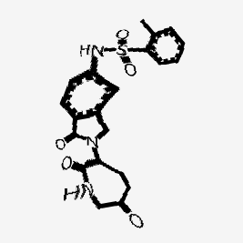 Cc1ccccc1S(=O)(=O)Nc1ccc2c(c1)CN(C1CCC(=O)CNC1=O)C2=O